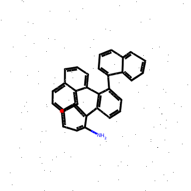 Nc1ccccc1-c1cccc(-c2cccc3ccccc23)c1-c1cccc2ccccc12